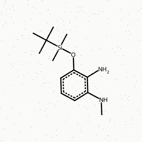 CNc1cccc(O[Si](C)(C)C(C)(C)C)c1N